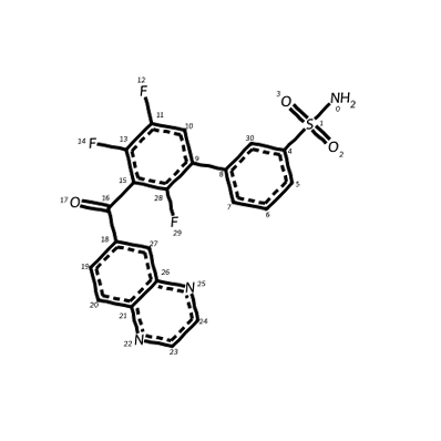 NS(=O)(=O)c1cccc(-c2cc(F)c(F)c(C(=O)c3ccc4nccnc4c3)c2F)c1